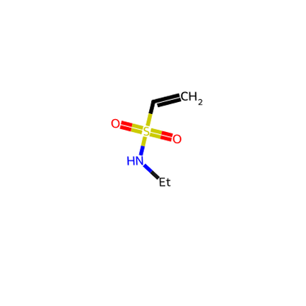 C=CS(=O)(=O)NCC